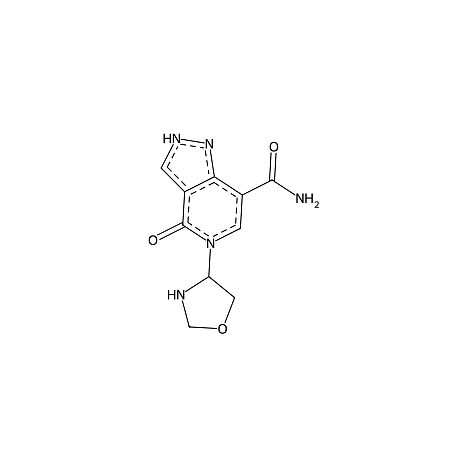 NC(=O)c1cn(C2COCN2)c(=O)c2c[nH]nc12